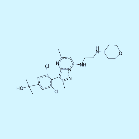 Cc1cc(NCCNC2CCOCC2)n2nc(C)c(-c3c(Cl)cc(C(C)(C)O)cc3Cl)c2n1